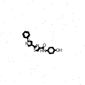 O=C(NC1CCC(O)CC1)c1csc(-c2cnn(-c3ccccc3)c2)n1